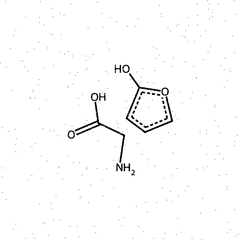 NCC(=O)O.Oc1ccco1